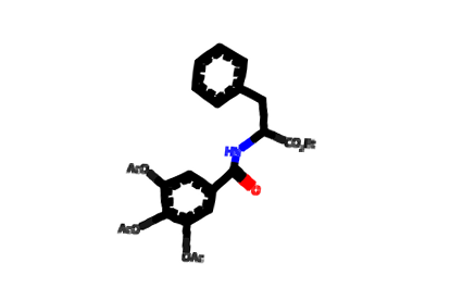 CCOC(=O)C(Cc1ccccc1)NC(=O)c1cc(OC(C)=O)c(OC(C)=O)c(OC(C)=O)c1